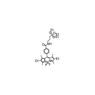 CCO[Si](CCCNC(=O)c1ccc(C2=C3C(C)=C(CC)C(C)=[N+]3[B-](F)(F)n3c(C)c(CC)c(C)c32)cc1)(OCC)OCC